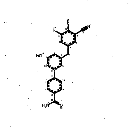 Cl.N#Cc1cc(Cc2ccnc(-c3ccc(C(N)=O)cc3)c2)cc(F)c1F